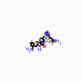 NCc1ccccc1CC(=O)NC1C(=O)N2C(C(=O)O)=C(CSc3nnnn3CCC(N)=O)CS[C@H]12